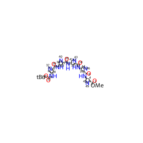 COC(=O)c1cc(NC(=O)c2cc(NC(=O)c3cc(NC(=O)c4cc(NC(=O)c5cc(NC(=O)OC(C)(C)C)cn5C)cn4C)cn3C)cn2C)cn1C